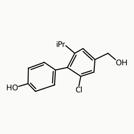 CC(C)c1cc(CO)cc(Cl)c1-c1ccc(O)cc1